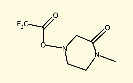 CN1CCN(OC(=O)C(F)(F)F)CC1=O